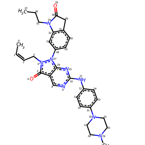 C/C=C\Cn1c(=O)c2cnc(Nc3ccc(N4CCN(C)CC4)cc3)nc2n1-c1ccc2c(c1)N(CCC)C(=O)C2